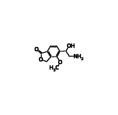 COc1c(C(O)CN)ccc2c1COC2=O